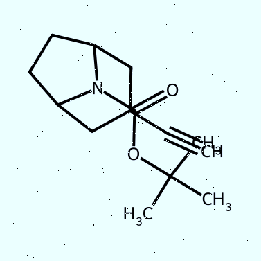 C#CC1CC2CCC(C1)N2C(=O)OC(C)(C)C